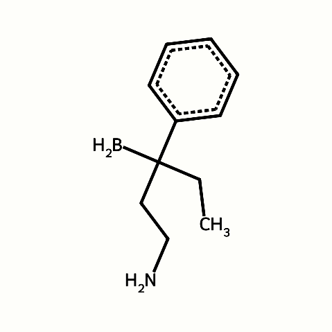 BC(CC)(CCN)c1ccccc1